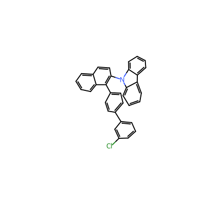 Clc1cccc(-c2ccc(-c3c(-n4c5ccccc5c5ccccc54)ccc4ccccc34)cc2)c1